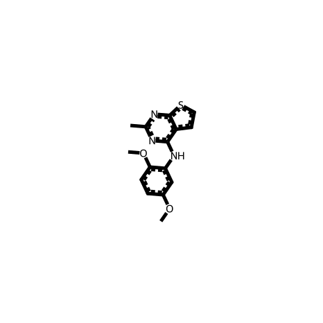 COc1ccc(OC)c(Nc2nc(C)nc3sccc23)c1